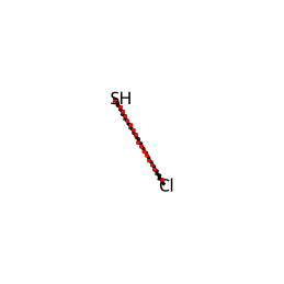 SCCCCCCCCCCCCCCCCCCCCCCCCCCCCCCCCCCCCCCl